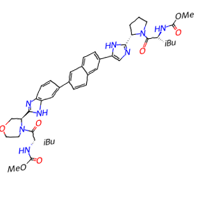 CC[C@@H](C)[C@H](NC(=O)OC)C(=O)N1CCC[C@H]1c1ncc(-c2ccc3cc(-c4ccc5nc([C@@H]6COCCN6C(=O)[C@@H](NC(=O)OC)[C@H](C)CC)[nH]c5c4)ccc3c2)[nH]1